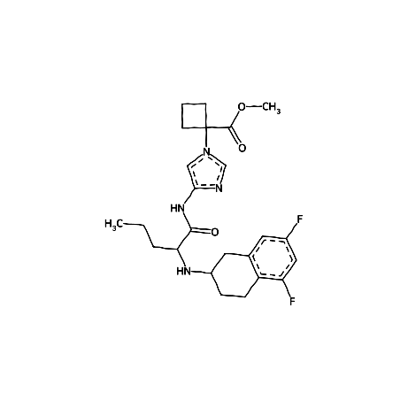 CCCC(NC1CCc2c(F)cc(F)cc2C1)C(=O)Nc1cn(C2(C(=O)OC)CCC2)cn1